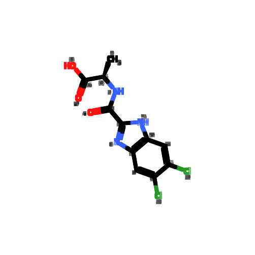 C[C@@H](NC(=O)c1nc2cc(Cl)c(Cl)cc2[nH]1)C(=O)O